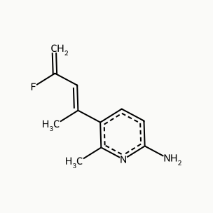 C=C(F)/C=C(\C)c1ccc(N)nc1C